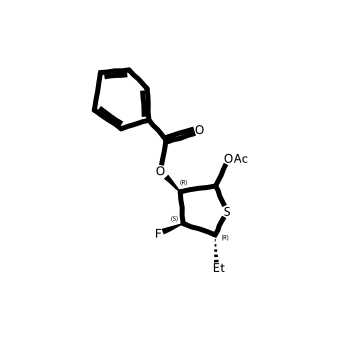 CC[C@H]1SC(OC(C)=O)[C@H](OC(=O)c2ccccc2)[C@@H]1F